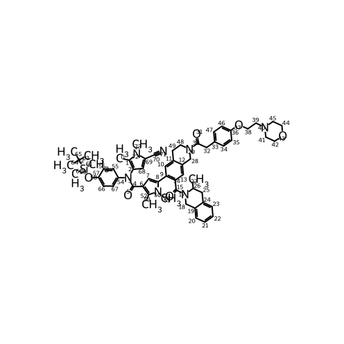 Cc1c(N(C(=O)c2cc(-c3cc4c(cc3C(=O)N3Cc5ccccc5CC3C)CN(C(=O)Cc3ccc(OCCN5CCOCC5)cc3)CC4)n(C)c2C)c2ccc(O[Si](C)(C)C(C)(C)C)cc2)cc(C#N)n1C